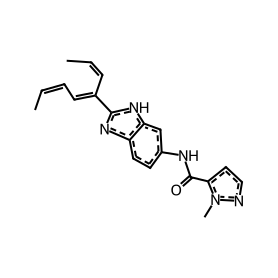 C\C=C/C=C(\C=C/C)c1nc2ccc(NC(=O)c3ccnn3C)cc2[nH]1